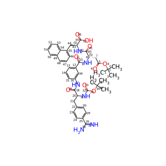 CC(C)(C)OC(=O)C[C@H](NC(=O)c1cccc(NC(=O)C(Cc2ccc(C(=N)N)cc2)NC(=O)OC(C)(C)C)c1)C(=O)N[C@@H](Cc1cccc2ccccc12)C(=O)O